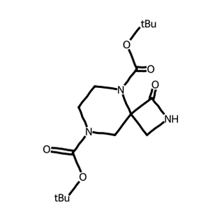 CC(C)(C)OC(=O)N1CCN(C(=O)OC(C)(C)C)C2(CNC2=O)C1